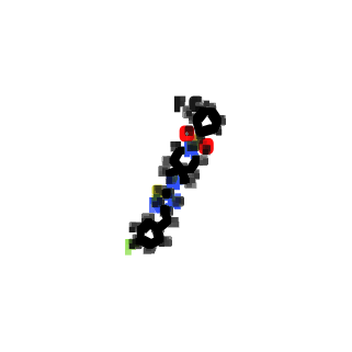 O=S(=O)(c1cccc(C(F)(F)F)c1)N1CCC2(CC1)CN(c1nc(Cc3ccc(F)cc3)ns1)C2